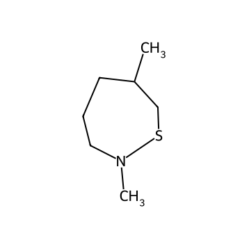 CC1CCCN(C)SC1